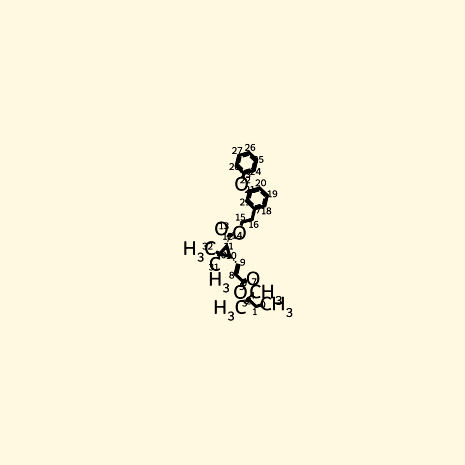 CCC(C)(C)OC(=O)C=C[C@H]1[C@@H](C(=O)OCCc2cccc(Oc3ccccc3)c2)C1(C)C